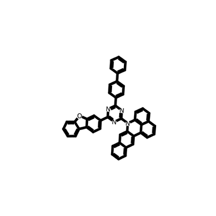 c1ccc(-c2ccc(-c3nc(-c4ccc5c(c4)oc4ccccc45)nc(N4c5cc6ccccc6cc5-c5cccc6cccc4c56)n3)cc2)cc1